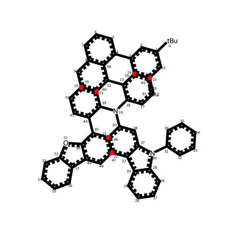 CC(C)(C)c1cc(-c2cccc3cccc(-c4ccccc4N(c4ccc5c6ccccc6n(-c6ccccc6)c5c4)c4ccccc4-c4cccc5c4oc4ccccc45)c23)cc(C(C)(C)C)c1